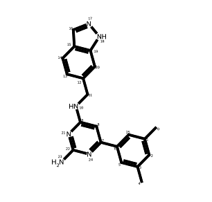 Cc1cc(C)cc(-c2cc(NCc3ccc4cn[nH]c4c3)nc(N)n2)c1